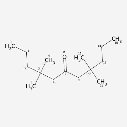 CCCC(C)(C)CC(=O)CC(C)(C)CCC